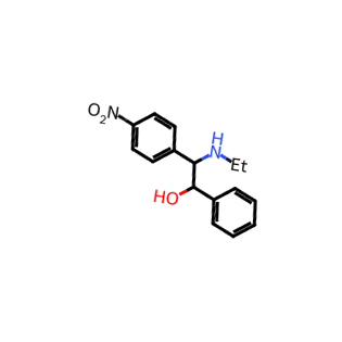 CCNC(c1ccc([N+](=O)[O-])cc1)C(O)c1ccccc1